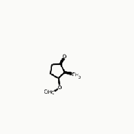 C=C1C(=O)CCC1OC=O